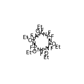 CCOP1(F)=NP(F)(F)=NP(F)(OCC)=NP(F)(OCC)=NP(F)(OCC)=NP(F)(OCC)=N1